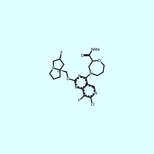 CNC(=O)C1CN(c2nc(OC[C@@]34CCCN3CC(F)C4)nc3c(F)c(Cl)ncc23)CCCO1